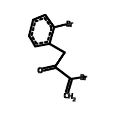 C=C(Br)C(=O)Cc1ccccc1Br